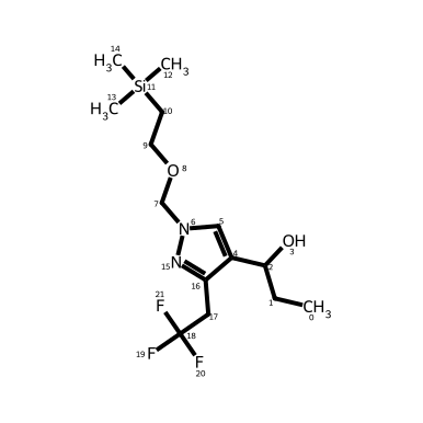 CCC(O)c1cn(COCC[Si](C)(C)C)nc1CC(F)(F)F